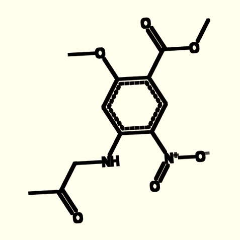 COC(=O)c1cc([N+](=O)[O-])c(NCC(C)=O)cc1OC